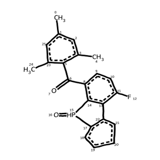 Cc1cc(C)c(C(=O)c2ccc(F)c3c2[PH](=O)c2ccccc2-3)c(C)c1